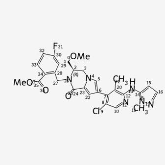 COC[C@H]1Cn2cc(-c3c(Cl)cnc(Nc4ccnn4C)c3C)cc2C(=O)N1Cc1cc(F)ccc1C(=O)OC